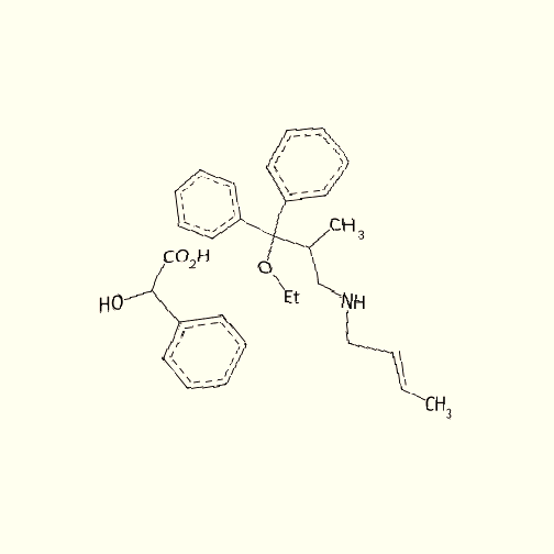 CC=CCNCC(C)C(OCC)(c1ccccc1)c1ccccc1.O=C(O)C(O)c1ccccc1